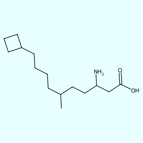 CC(CCCCC1CCC1)CCC(N)CC(=O)O